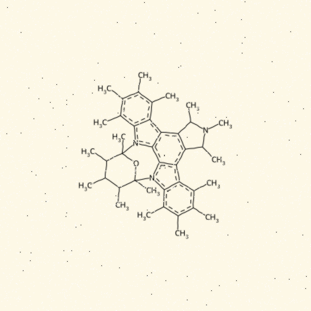 Cc1c(C)c(C)c2c(c1C)c1c3c(c4c5c(C)c(C)c(C)c(C)c5n5c4c1n2C1(C)OC5(C)C(C)C(C)C1C)C(C)N(C)C3C